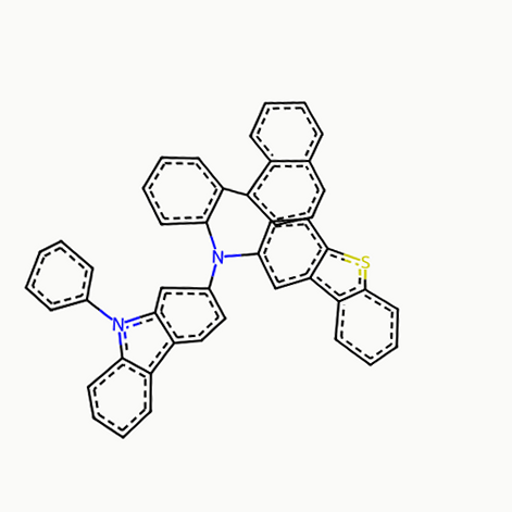 c1ccc(-n2c3ccccc3c3ccc(N(c4ccc5sc6ccccc6c5c4)c4ccccc4-c4cccc5ccccc45)cc32)cc1